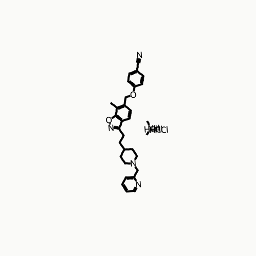 CNC.Cc1c(COc2ccc(C#N)cc2)ccc2c(CCC3CCN(Cc4ccccn4)CC3)noc12.Cl.Cl.Cl